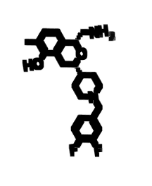 Cc1ccc2c(c1O)C[C@@H](C1CCN(Cc3ccc(F)c(F)c3)CC1)O[C@H]2CN